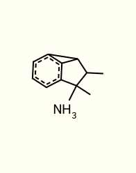 CC1C2c3cccc(c32)C1(C)C.N